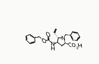 C=C[C@H]1[C@H](NC(=O)OCc2ccccc2)C[C@H](C(=O)O)N1Cc1ccccc1